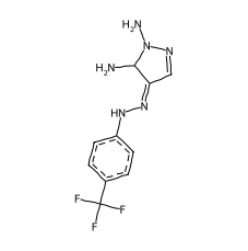 NC1C(=NNc2ccc(C(F)(F)F)cc2)C=NN1N